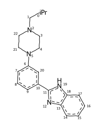 CC(C)CN1CCN(c2cccc(-c3nc4ccccc4[nH]3)c2)CC1